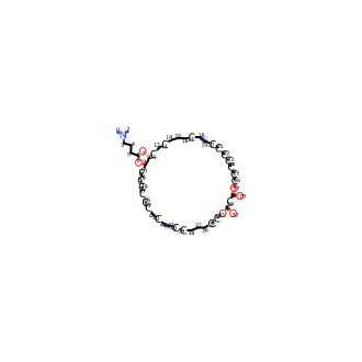 CN(C)CCCC(=O)OC1CCCCCCCC/C=C\CCCCCCCOC(=O)CC(=O)OCCCCCCC/C=C\CCCCCCCC1